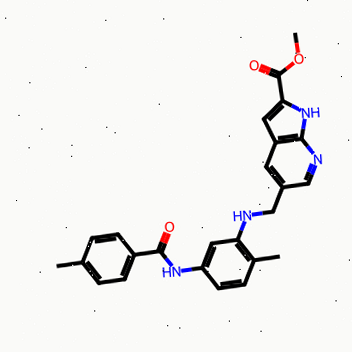 COC(=O)c1cc2cc(CNc3cc(NC(=O)c4ccc(C)cc4)ccc3C)cnc2[nH]1